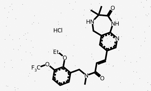 CCOc1c(CN(C)C(=O)C=Cc2cnc3c(c2)CNC(C)(C)C(=O)N3)cccc1OC(F)(F)F.Cl